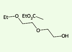 CCOC(C)=O.CCOCCOCCO